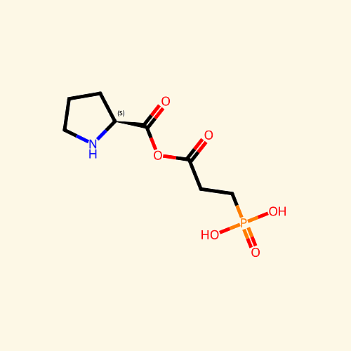 O=C(CCP(=O)(O)O)OC(=O)[C@@H]1CCCN1